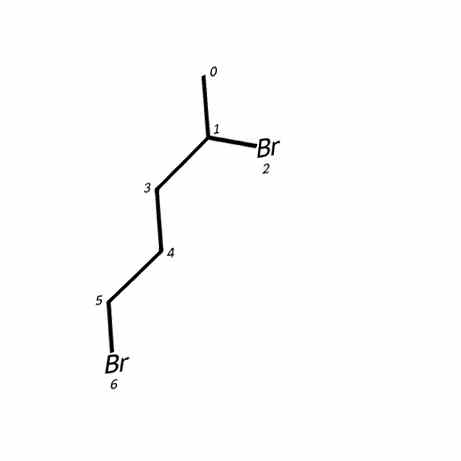 CC(Br)CCCBr